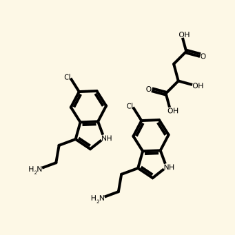 NCCc1c[nH]c2ccc(Cl)cc12.NCCc1c[nH]c2ccc(Cl)cc12.O=C(O)CC(O)C(=O)O